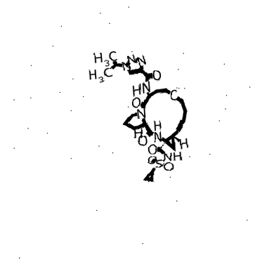 CC(C)n1cc(C(=O)N[C@H]2CCCCC/C=C\[C@@H]3C[C@@]3(C(=O)NS(=O)(=O)C3CC3)NC(=O)[C@@H]3CCCN3C2=O)nn1